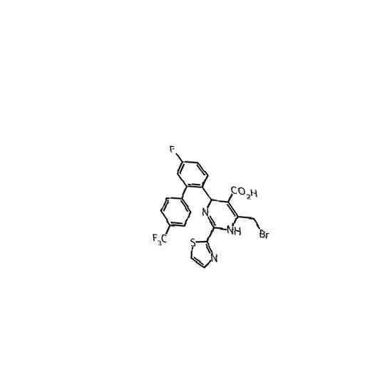 O=C(O)C1=C(CBr)NC(c2nccs2)=NC1c1ccc(F)cc1-c1ccc(C(F)(F)F)cc1